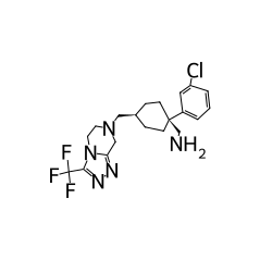 NC[C@]1(c2cccc(Cl)c2)CC[C@H](CN2CCn3c(nnc3C(F)(F)F)C2)CC1